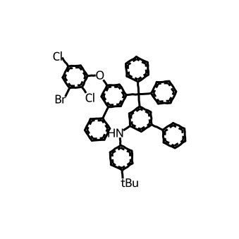 CC(C)(C)c1ccc(Nc2cc(-c3ccccc3)cc(C(c3ccccc3)(c3ccccc3)c3cc(Oc4cc(Cl)cc(Br)c4Cl)cc(-c4ccccc4)c3)c2)cc1